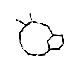 CCC1CCCCCCC2CCCC(CCN1C)C2